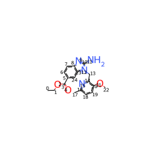 CCOC(=O)c1ccc2nc(N)n(Cc3nc(C)ccc3OC)c2c1